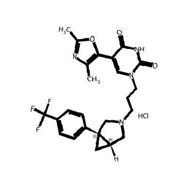 Cc1nc(C)c(-c2cn(CCCN3C[C@@H]4C[C@]4(c4ccc(C(F)(F)F)cc4)C3)c(=O)[nH]c2=O)o1.Cl